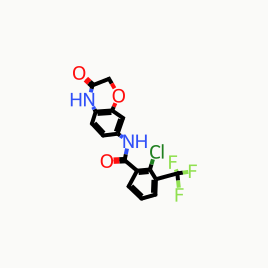 O=C1COc2cc(NC(=O)c3cccc(C(F)(F)F)c3Cl)ccc2N1